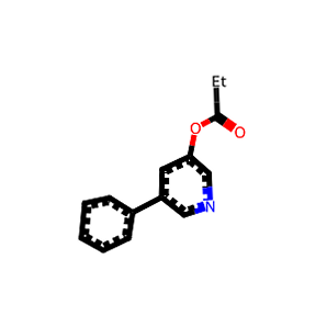 CCC(=O)Oc1cncc(-c2ccccc2)c1